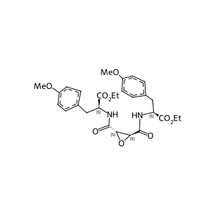 CCOC(=O)[C@H](Cc1ccc(OC)cc1)NC(=O)[C@H]1O[C@@H]1C(=O)N[C@@H](Cc1ccc(OC)cc1)C(=O)OCC